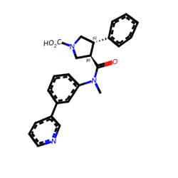 CN(C(=O)[C@H]1CN(C(=O)O)C[C@@H]1c1ccccc1)c1cccc(-c2cccnc2)c1